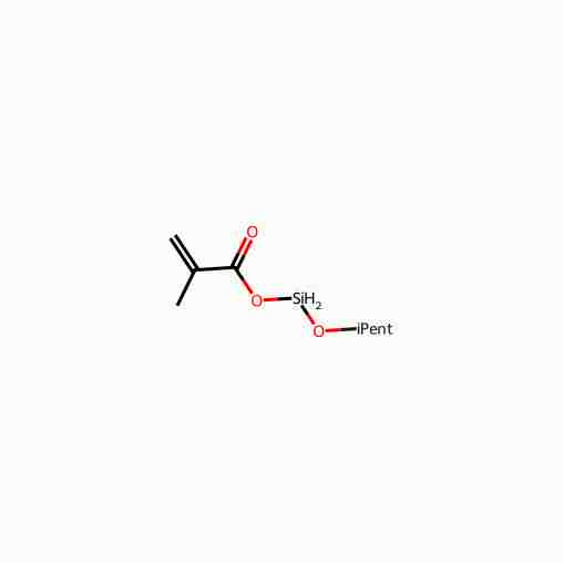 C=C(C)C(=O)O[SiH2]OC(C)CCC